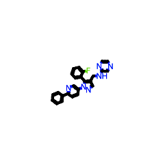 Fc1ccccc1-c1c(CNc2cnccn2)cnn1-c1ccc(-c2ccccc2)nc1